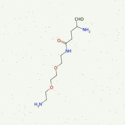 NCCOCCOCCNC(=O)CCC(N)C=O